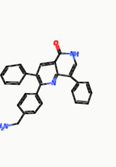 NCc1ccc(-c2nc3c(-c4ccccc4)c[nH]c(=O)c3cc2-c2ccccc2)cc1